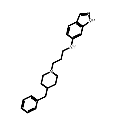 c1ccc(CC2CCN(CCCNc3ccc4cn[nH]c4c3)CC2)cc1